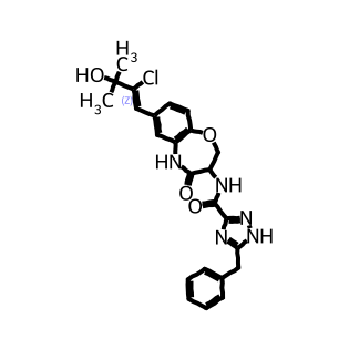 CC(C)(O)/C(Cl)=C/c1ccc2c(c1)NC(=O)C(NC(=O)c1n[nH]c(Cc3ccccc3)n1)CO2